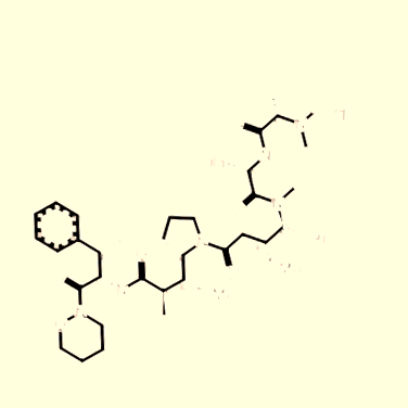 CCCCCCCN(C)[C@H](C(=O)N[C@H](C(=O)N(C)[C@@H]([C@@H](C)CC)[C@@H](CC(=O)N1CCC[C@H]1[C@H](OC)[C@@H](C)C(=O)N[C@H](C(=O)N1CCCCO1)[C@@H](C)c1ccccc1)OC)C(C)C)C(C)C